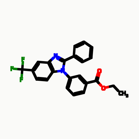 CCOC(=O)c1cccc(-n2c(-c3ccccc3)nc3cc(C(F)(F)F)ccc32)c1